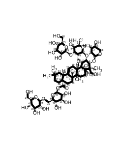 C[C@@H]1O[C@@H](O[C@H]2[C@H](O[C@H]3CC[C@@]4(C)[C@@H](CC[C@]5(C)[C@@H]4CC=C4[C@@H]6CC(C)(C)CC[C@]6(C(=O)O[C@@H]6O[C@H](CO[C@@H]7O[C@H](CO)[C@@H](O)[C@H](O)[C@H]7O)[C@@H](O)[C@H](O)[C@H]6O)CC[C@]45C)[C@]3(C)CO)OC[C@H](O)[C@@H]2O)[C@H](O)[C@H](O[C@@H]2O[C@H](CO)[C@@H](O)[C@H](O)[C@H]2O)[C@H]1O